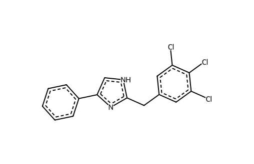 Clc1cc(Cc2nc(-c3ccccc3)c[nH]2)cc(Cl)c1Cl